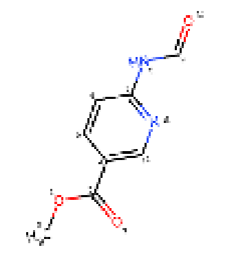 COC(=O)c1ccc(NC=O)nc1